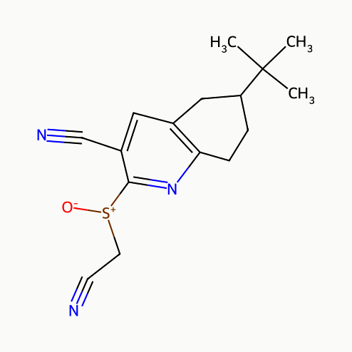 CC(C)(C)C1CCc2nc([S+]([O-])CC#N)c(C#N)cc2C1